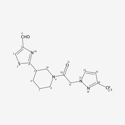 O=Cc1csc(C2CCCN(C(=O)Cn3ccc(C(F)(F)F)n3)C2)n1